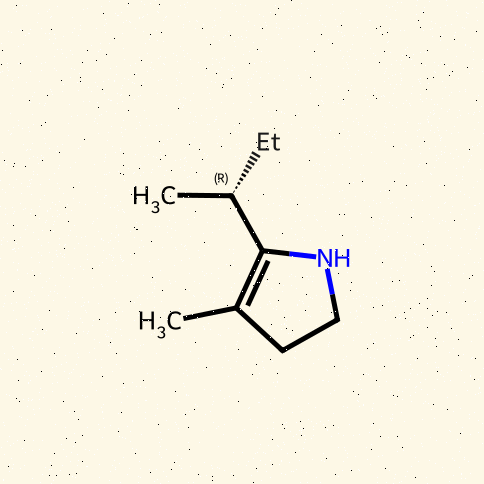 CC[C@@H](C)C1=C(C)CCN1